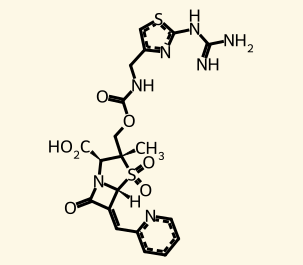 C[C@]1(COC(=O)NCc2csc(NC(=N)N)n2)[C@H](C(=O)O)N2C(=O)/C(=C/c3ccccn3)[C@H]2S1(=O)=O